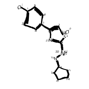 Cl.Clc1ccc(-c2csc(NN=C3CCCC3)n2)cc1